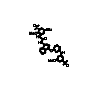 COc1cc(Nc2nccc(Oc3ccc(NC(=O)Nc4cc(C(C)(C)C)cc(P(C)(C)=O)c4OC)c4ccccc34)n2)cc(P(C)(C)=O)c1